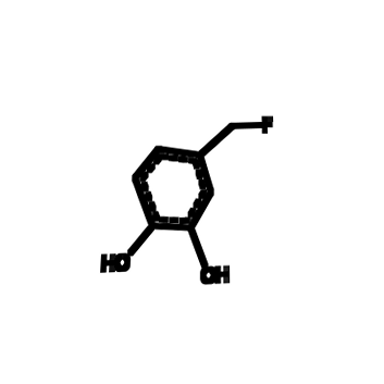 Oc1ccc(CF)cc1O